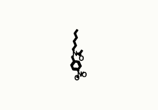 CCCCCCN(Cc1ccc([N+](=O)[O-])cc1)C(C)=O